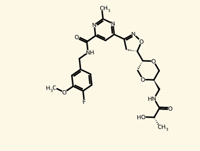 COc1cc(CNC(=O)c2cc(C3=NO[C@H]([C@H]4CO[C@H](CNC(=O)[C@H](C)O)CO4)C3)nc(C)n2)ccc1F